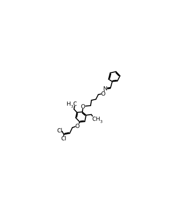 CCc1cc(OCC=C(Cl)Cl)cc(CC)c1OCCCCO/N=C/c1ccccc1